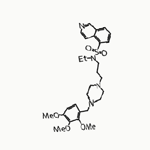 CCN(CCCN1CCN(Cc2ccc(OC)c(OC)c2OC)CC1)S(=O)(=O)c1cccc2cnccc12